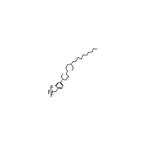 CCCCCCCCCC[C@H]1CC[C@H]([C@H]2CC[C@H](c3ccc(CC(F)(F)F)cc3)CC2)CC1